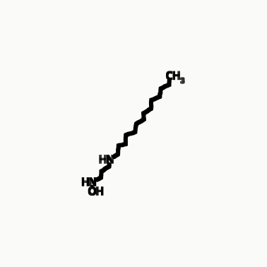 CCCCCCCCCCCCCCNCCCNO